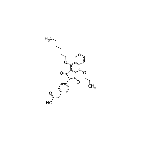 CCCCCCOc1c2c(c(OCCC)c3ccccc13)C(=O)N(c1ccc(CC(=O)O)cc1)C2=O